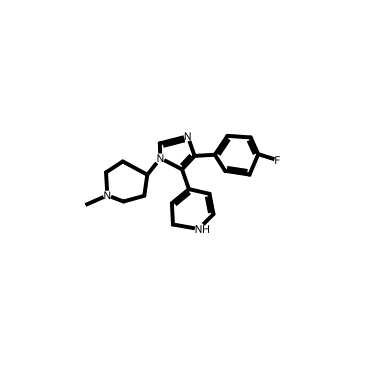 CN1CCC(n2cnc(-c3ccc(F)cc3)c2C2=CCNC=C2)CC1